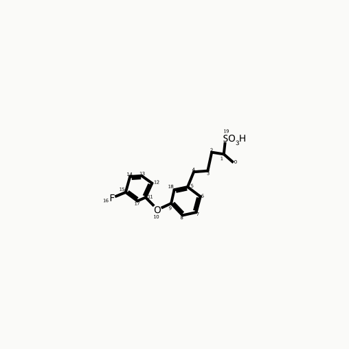 CC(CCCc1cccc(Oc2cccc(F)c2)c1)S(=O)(=O)O